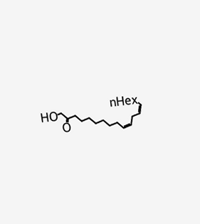 CCCCCC/C=C\C/C=C\CCCCCCCC(=O)CO